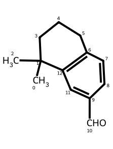 CC1(C)CCCc2ccc(C=O)cc21